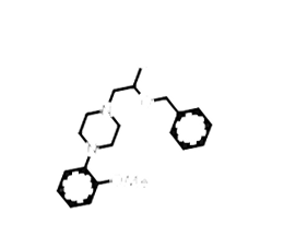 [CH2]C(CN1CCN(c2ccccc2OC)CC1)OCc1ccccc1